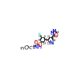 CCCCCCCCNC(=O)Oc1cc(F)cc(-c2cncc(-c3nnco3)c2)c1